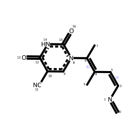 C=N/C=C\C(C)=C(/C)n1cc(C#N)c(=O)[nH]c1=O